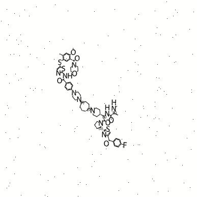 CN[C@@H](C)C(=O)N[C@H](C(=O)N1CCC[C@H]1c1nc(C(=O)c2ccc(F)cc2)cs1)C1CCN([C@H]2CCC[C@@H](N3CCN(c4ccc(C(=O)Nc5ncc(Sc6cc(C(=O)N7CCOCC7)c(OC)cc6C)s5)cc4)CC3)CC2)CC1